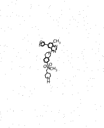 Cc1cc(-c2cnoc2)cc2c(N3CCc4ccc(S(=O)(=O)N(C)CC5CCNCC5)cc4C3)ncnc12